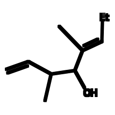 C=CC(C)C(O)/C(C)=C/CC